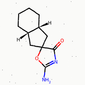 NC1=NC(=O)C2(C[C@H]3CCCC[C@H]3C2)O1